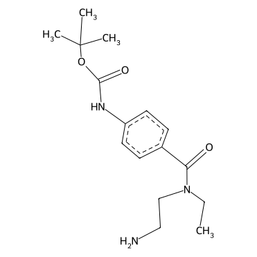 CCN(CCN)C(=O)c1ccc(NC(=O)OC(C)(C)C)cc1